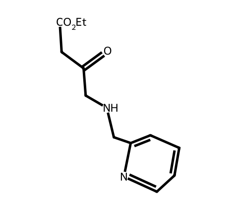 CCOC(=O)CC(=O)CNCc1ccccn1